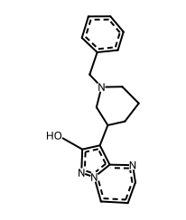 Oc1nn2cccnc2c1C1CCCN(Cc2ccccc2)C1